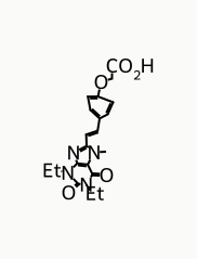 CCn1c(=O)c2c(nc(/C=C/c3ccc(OCC(=O)O)cc3)n2C)n(CC)c1=O